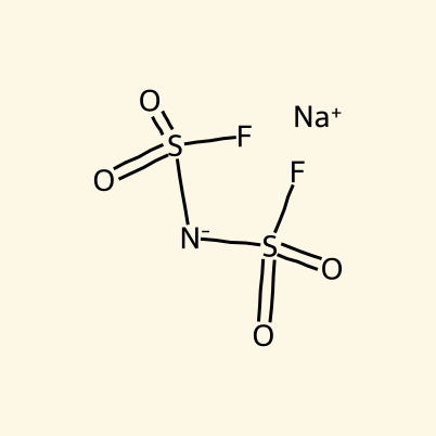 O=S(=O)(F)[N-]S(=O)(=O)F.[Na+]